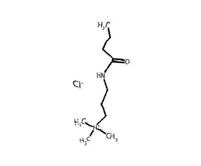 CCCC(=O)NCCC[N+](C)(C)C.[Cl-]